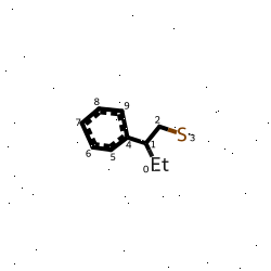 CCC(C[S])c1ccccc1